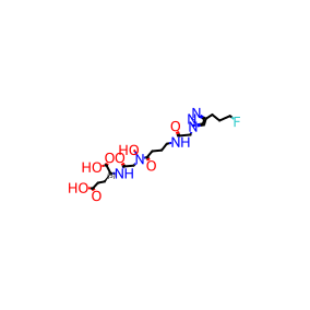 O=C(O)CC[C@H](NC(=O)CN(O)C(=O)CCCNC(=O)Cn1cc(CCCF)nn1)C(=O)O